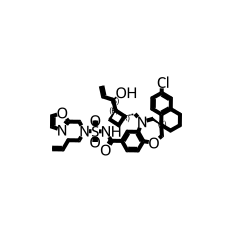 C=CCCN(Cc1ncco1)S(=O)(=O)NC(=O)c1ccc2c(c1)N(C[C@@H]1CC[C@H]1[C@@H](O)C=C)C[C@@]1(CCCc3cc(Cl)ccc31)CO2